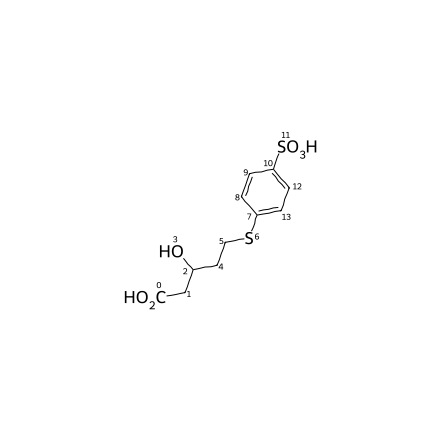 O=C(O)CC(O)CCSc1ccc(S(=O)(=O)O)cc1